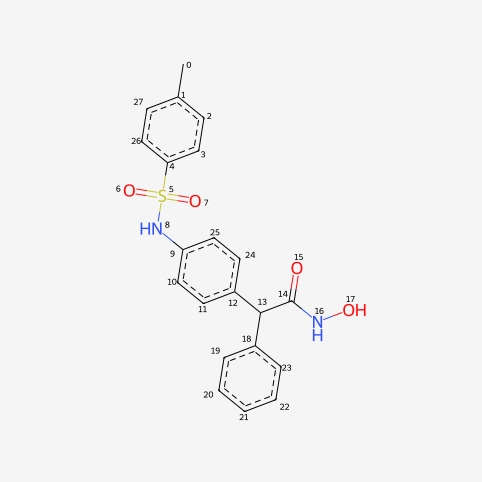 Cc1ccc(S(=O)(=O)Nc2ccc(C(C(=O)NO)c3ccccc3)cc2)cc1